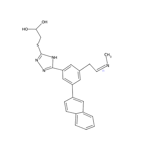 C/N=C\Cc1cc(-c2ccc3ccccc3c2)cc(-c2nnc(SCC(O)O)[nH]2)c1